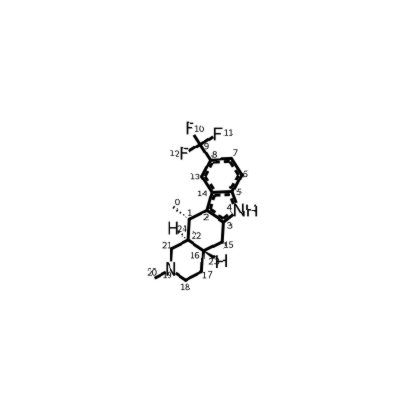 C[C@@H]1c2c([nH]c3ccc(C(F)(F)F)cc23)C[C@@H]2CCN(C)C[C@H]21